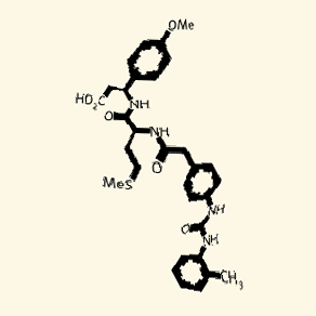 COc1ccc([C@H](CC(=O)O)NC(=O)[C@H](CCSC)NC(=O)Cc2ccc(NC(=O)Nc3ccccc3C)cc2)cc1